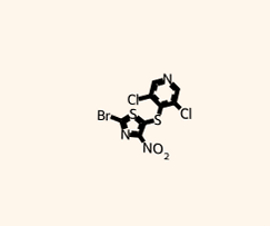 O=[N+]([O-])c1nc(Br)sc1Sc1c(Cl)cncc1Cl